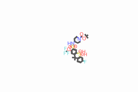 CC(C)(C)OC(=O)N1CCC(NS(=O)(=O)c2cc3c(cc2OC(F)(F)F)C(C)(C)c2ccc(F)cc2S3(O)O)CC1